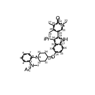 CC(=O)N(C)c1ccccc1N1CCC(Oc2ccc3[nH]c(-c4cn(C)c(=O)c(C)c4C)c(C(C)C)c3c2)CC1